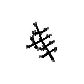 [2H]C([2H])([2H])C([2H])(C([2H])([2H])[2H])C([2H])([2H])S(=O)(=O)Cl